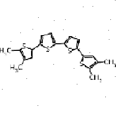 Cc1cc(-c2ccc(-c3ccc(-c4cc(C)c(C)s4)s3)s2)sc1C